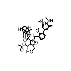 C=C(/C=C(\C=C\N(C)C)c1cccc(CN2O[C@@H](CO)[C@@H]([C@H](C)OC(C)=O)[C@H]2C(=O)N[C@H]2C[C@H]3C[C@@H]([C@@H]2C)C3(C)C)c1OC)C(=O)NC